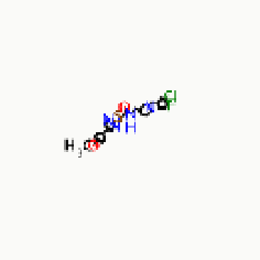 COc1ccc(-c2cnc(SCC(=O)NCC3CCCN(Cc4ccc(F)c(Cl)c4)C3)nc2)cc1